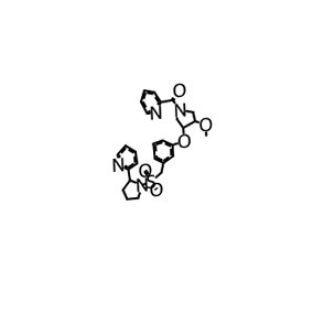 COC1CN(C(=O)c2ccccn2)CC1Oc1cccc(CS(=O)(=O)N2CCCC2c2ccccn2)c1